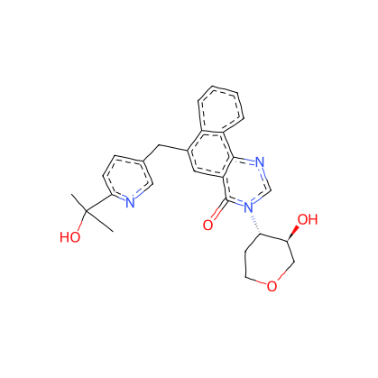 CC(C)(O)c1ccc(Cc2cc3c(=O)n([C@H]4CCOC[C@@H]4O)cnc3c3ccccc23)cn1